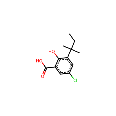 CCC(C)(C)c1cc(Cl)cc(C(=O)O)c1O